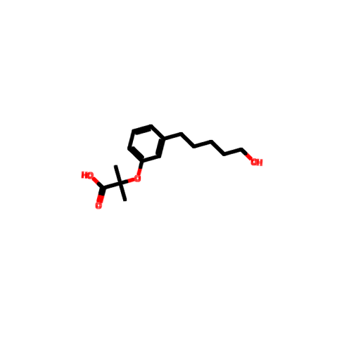 CC(C)(Oc1cccc(CCCCCO)c1)C(=O)O